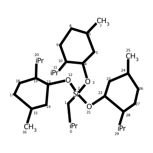 CC(C)C[Si](OC1CC(C)CCC1C(C)C)(OC1CC(C)CCC1C(C)C)OC1CC(C)CCC1C(C)C